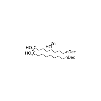 CCCCCCCCCCCCCCCCCC(=O)O.CCCCCCCCCCCCCCCCCC(=O)O.Cl.[Zn]